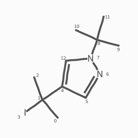 CC(C)(I)c1cnn(C(C)(C)C)c1